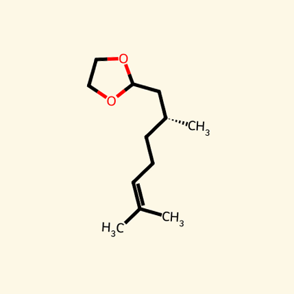 CC(C)=CCC[C@@H](C)CC1OCCO1